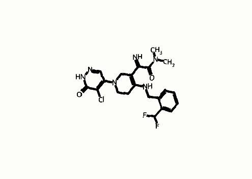 CN(C)C(=O)C(=N)C1=C(NCc2ccccc2C(F)F)CCN(c2cn[nH]c(=O)c2Cl)C1